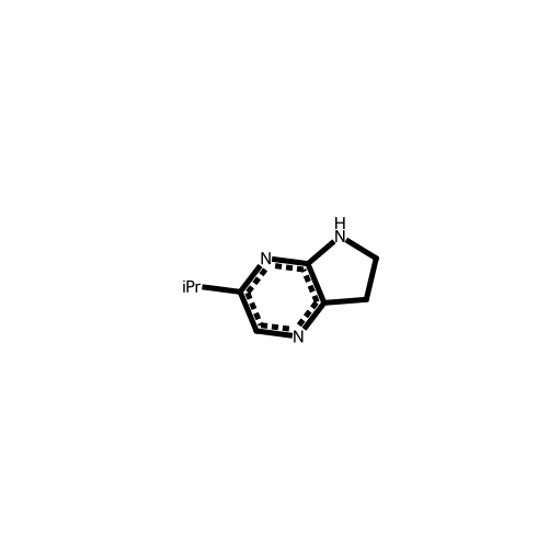 CC(C)c1cnc2c(n1)NCC2